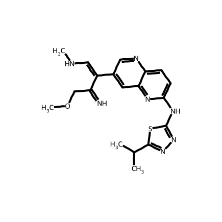 CN/C=C(\C(=N)COC)c1cnc2ccc(Nc3nnc(C(C)C)s3)nc2c1